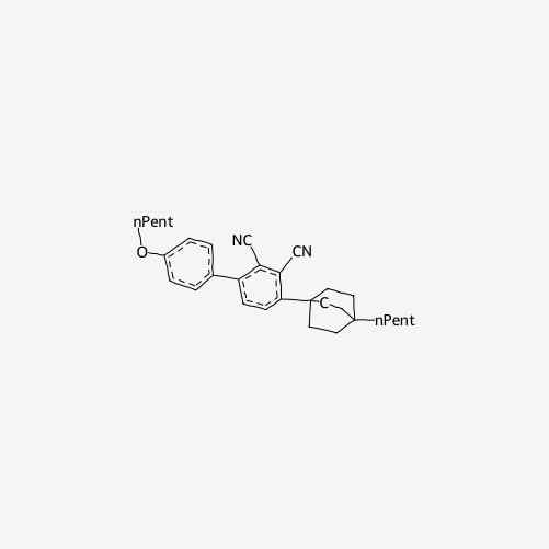 CCCCCOc1ccc(-c2ccc(C34CCC(CCCCC)(CC3)CC4)c(C#N)c2C#N)cc1